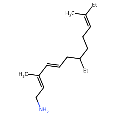 CCC(C)=CCCC(CC)CC=CC(C)=CCN